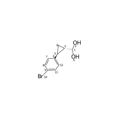 OC(O)[C@H]1C[C@@H]1c1ccc(Br)cc1